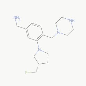 NCc1ccc(CN2CCNCC2)c(N2CC[C@H](CF)C2)c1